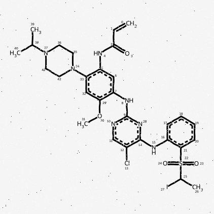 C=CC(=O)Nc1cc(Nc2ncc(Cl)c(Nc3ccccc3S(=O)(=O)C(C)I)n2)c(OC)cc1N1CCN(C(C)C)CC1